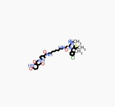 Cc1sc2c(c1C)C(c1ccc(Cl)cc1)=N[C@@H](CC(=O)NCCCCCCCCNC(=O)c1ccc(N3CCC4(CCCC(=O)NC4=O)CC3=O)nc1)c1nnc(C)n1-2